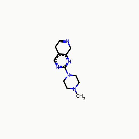 CN1CCN(c2ncc3c(n2)CN=CC3)CC1